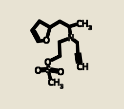 C#CCN(CCOS(C)(=O)=O)C(C)CC1CC=CO1